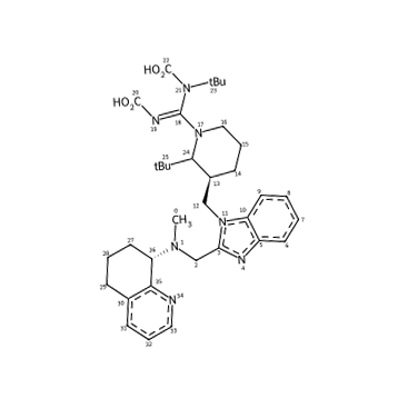 CN(Cc1nc2ccccc2n1C[C@@H]1CCCN(C(=NC(=O)O)N(C(=O)O)C(C)(C)C)C1C(C)(C)C)[C@H]1CCCc2cccnc21